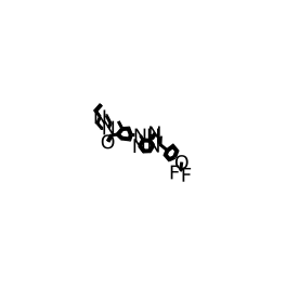 C=CN1CCN(C(=O)c2ccc(Nc3nccn4c(-c5ccc(OC(F)F)cc5)cnc34)cc2C)CC1